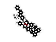 CC1(C)c2cc(-c3ccccc3)ccc2-c2ccc(N(c3ccc(-c4cccc5c4-c4ccccc4C54c5ccccc5C5(c6ccccc6-c6ccccc65)c5ccccc54)cc3)c3ccccc3-c3ccccc3)cc21